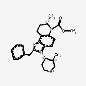 COC(=O)N1c2ccc3c(nc(Cc4ccccc4)n3[C@H]3CCNC[C@@H]3C)c2CC[C@@H]1C